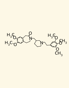 COc1cc2c(cc1OC)CC(=O)N(CC1CCCN(CCc3cc(OC)c(OC)c(OC)c3)C1)CC2